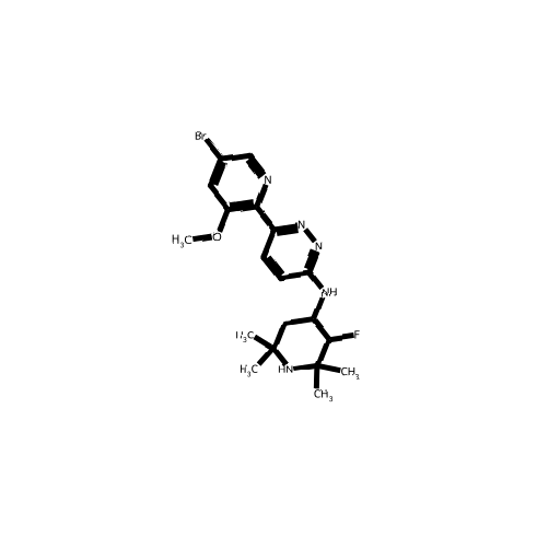 COc1cc(Br)cnc1-c1ccc(NC2CC(C)(C)NC(C)(C)C2F)nn1